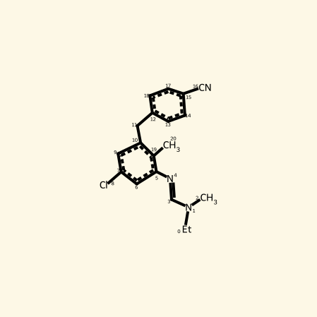 CCN(C)C=Nc1cc(Cl)cc(Cc2ccc(C#N)cc2)c1C